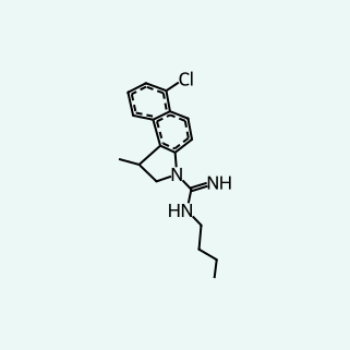 CCCCNC(=N)N1CC(C)c2c1ccc1c(Cl)cccc21